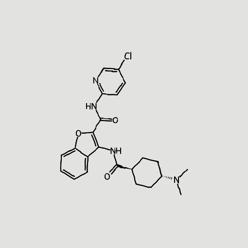 CN(C)[C@H]1CC[C@H](C(=O)Nc2c(C(=O)Nc3ccc(Cl)cn3)oc3ccccc23)CC1